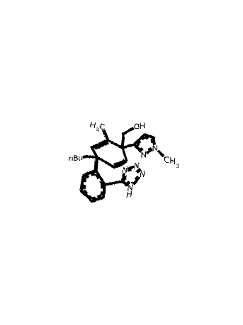 CCCCC1(c2ccccc2-c2nnn[nH]2)C=CC(CO)(c2ccn(C)n2)C(C)=C1